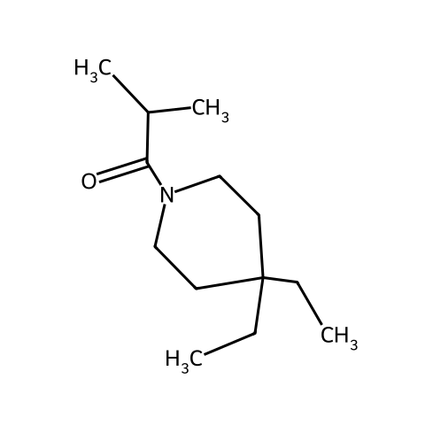 CCC1(CC)CCN(C(=O)C(C)C)CC1